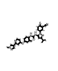 CC(C)c1cc(NC(=O)Nc2ccc(Oc3ccnc(-c4cnn(C)c4)c3)cc2F)n(-c2ccc(F)c(C#N)c2)n1